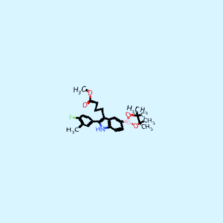 COC(=O)CCCc1c(-c2ccc(F)c(C)c2)[nH]c2ccc(B3OC(C)(C)C(C)(C)O3)cc12